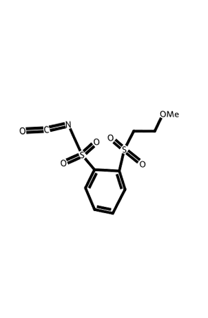 COCCS(=O)(=O)c1ccccc1S(=O)(=O)N=C=O